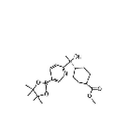 COC(=O)[C@H]1CC[C@H](C(C)(O)c2ccc(B3OC(C)(C)C(C)(C)O3)cn2)CC1